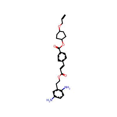 C=CCOC1CCC(OC(=O)c2ccc(/C=C/C(=O)OCCc3cc(N)ccc3N)cc2)CC1